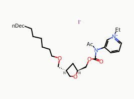 CCCCCCCCCCCCCCCCOC[C@H]1CO[C@H](COC(=O)N(C(C)=O)c2ccc[n+](CC)c2)C1.[I-]